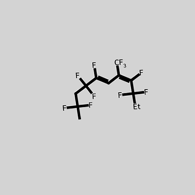 CCC(F)(F)C(F)=C(C=C(F)C(F)(F)CC(C)(F)F)C(F)(F)F